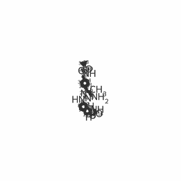 Cc1c(N)nc(Nc2ccc3c(c2)[C@@H]2NC(=O)O[C@@H]2C3)nc1-c1ccc(CNS(=O)(=O)C2CC2)cc1